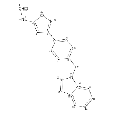 O=CNc1cc(-c2ccc(Cn3ncc4ccccc43)cc2)no1